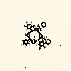 O=S(=O)(C1=Cc2nc1c(-c1c(F)c(F)c(F)c(F)c1F)c1ccc([nH]1)c(-c1c(F)c(F)c(F)c(F)c1F)c1ccc([nH]1)c(-c1c(F)c(F)c(F)c(F)c1F)c1cc(S(=O)(=O)N3CCCCC3)c2[nH]1)N1CCCCC1